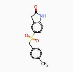 O=C1Cc2cc(S(=O)(=O)Cc3ccc(C(F)(F)F)cc3)ccc2N1